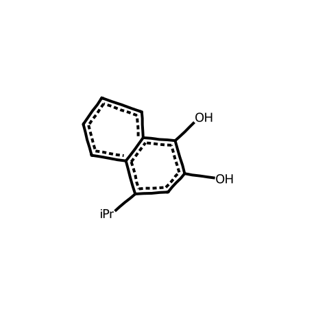 CC(C)c1cc(O)c(O)c2ccccc12